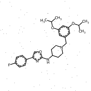 CC(C)Oc1cc(CN2CCC(Nc3nc(-c4ccc(F)cc4)co3)CC2)cc(OC(C)C)c1